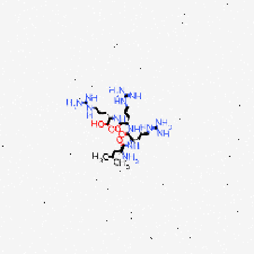 CC(C)C[C@H](N)C(=O)N[C@@H](CCCNC(=N)N)C(=O)N[C@@H](CCCNC(=N)N)C(=O)N[C@@H](CCCNC(=N)N)C(=O)O